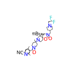 CCCC[C@H]1CN(CC2CCN(CC(F)F)CC2)C(=O)OC12CCN(C1(C)CCN(C(=O)c3c(C)cc(C#N)nc3C)CC1)CC2